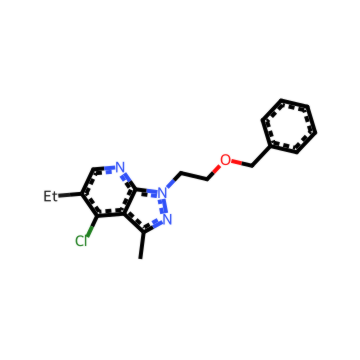 CCc1cnc2c(c(C)nn2CCOCc2ccccc2)c1Cl